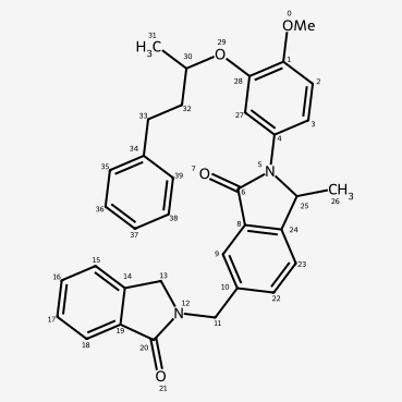 COc1ccc(N2C(=O)c3cc(CN4Cc5ccccc5C4=O)ccc3C2C)cc1OC(C)CCc1ccccc1